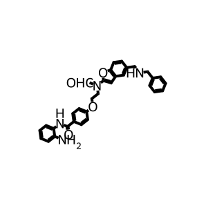 Nc1ccccc1NC(=O)c1ccc(OCCN(C=O)c2cc3cc(CNCc4ccccc4)ccc3o2)cc1